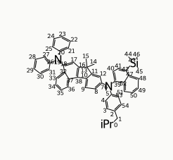 CC(C)Cc1ccc(N(c2ccc3c(c2)C(C)(C)c2cc(N(c4ccccc4)c4ccccc4)c4ccccc4c2-3)c2ccc([Si](C)(C)C)c3ccccc23)cc1